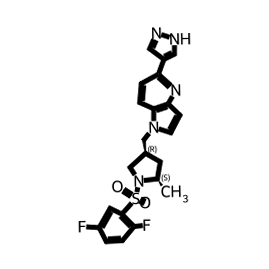 C[C@H]1C[C@H](Cn2ccc3nc(-c4cn[nH]c4)ccc32)CN1S(=O)(=O)c1cc(F)ccc1F